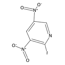 O=[N+]([O-])c1cnc(I)c([N+](=O)[O-])c1